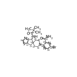 CC(C)(C)[S@@+]([O-])N[C@@H]1c2ncsc2CC12CCN(c1ncc(Br)nc1C(N)=O)CC2